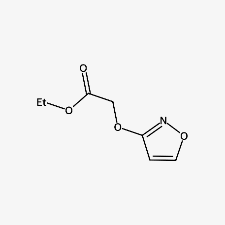 CCOC(=O)COc1ccon1